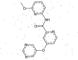 COc1cccc(NC(=O)c2cc(Oc3cncnc3)ccn2)n1